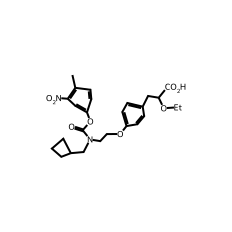 CCOC(Cc1ccc(OCCN(CC2CCC2)C(=O)Oc2ccc(C)c([N+](=O)[O-])c2)cc1)C(=O)O